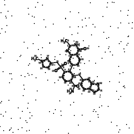 Cc1nc2cc(-c3c(S(=O)(=O)Cc4ccn(C)n4)ccc(C(N)=O)c3Cc3ccn4ccnc4c3)ccc2c(=O)[nH]1